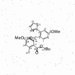 COc1ccc(C(=O)O)c(-c2nccs2)c1.COc1ccc(C(=O)OC(C)(C)C)c(I)c1